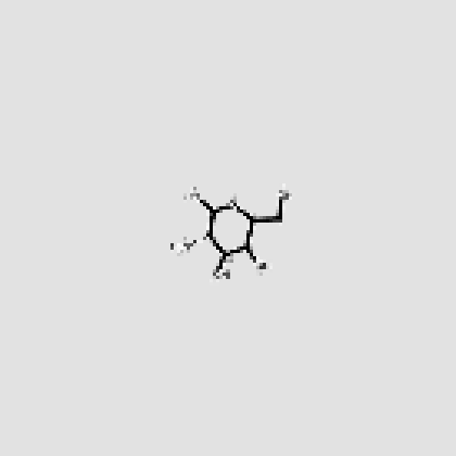 N[C@@H]1C(O)OC(CO)C(O)C1O